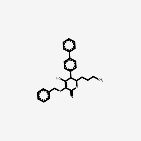 CCCCC1OC(=O)C(SCc2ccccc2)=C(O)C1c1ccc(-c2ccccc2)cc1